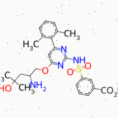 Cc1cccc(C)c1-c1cc(OCC(N)CC(C)(C)O)nc(NS(=O)(=O)c2cccc(C(=O)O)c2)n1